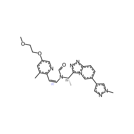 COCCOc1cnc(/C=C\N(C=O)[C@@H](C)c2nnc3ccc(-c4cnn(C)c4)cn23)c(C)c1